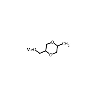 [CH2]C1COC(COC)CO1